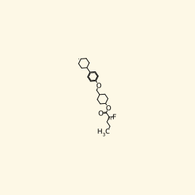 CCC[C@H](F)C(=O)OC1CCC(COc2ccc(C3CC[CH]CC3)cc2)CC1